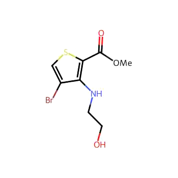 COC(=O)c1scc(Br)c1NCCO